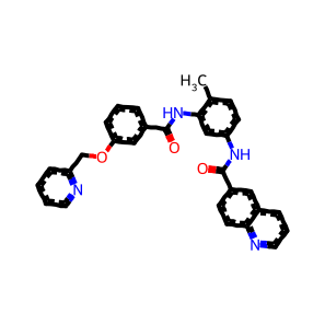 Cc1ccc(NC(=O)c2ccc3ncccc3c2)cc1NC(=O)c1cccc(OCc2ccccn2)c1